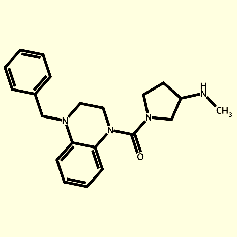 CNC1CCN(C(=O)N2CCN(Cc3ccccc3)c3ccccc32)C1